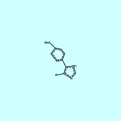 CSc1ccc(-c2[nH]cnc2C(C)C)cc1